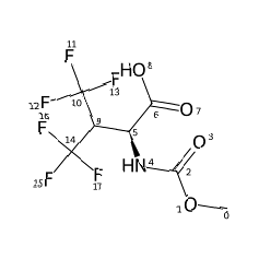 COC(=O)N[C@H](C(=O)O)C(C(F)(F)F)C(F)(F)F